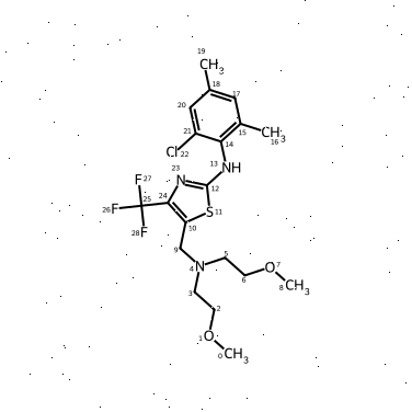 COCCN(CCOC)Cc1sc(Nc2c(C)cc(C)cc2Cl)nc1C(F)(F)F